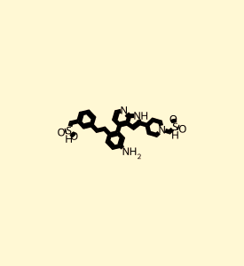 Nc1ccc(CCc2cccc(C[SH](=O)=O)c2)c(-c2ccnc3[nH]c(C4CCN(C[SH](=O)=O)CC4)cc23)c1